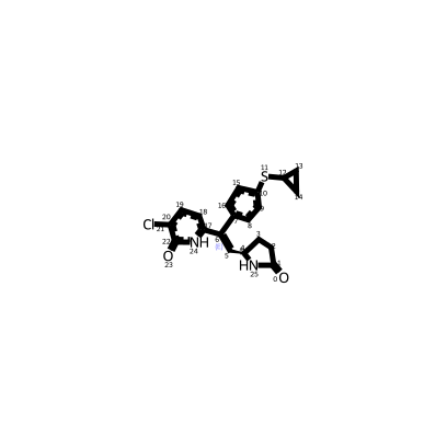 O=C1CC[C@H](/C=C(\c2ccc(SC3CC3)cc2)c2ccc(Cl)c(=O)[nH]2)N1